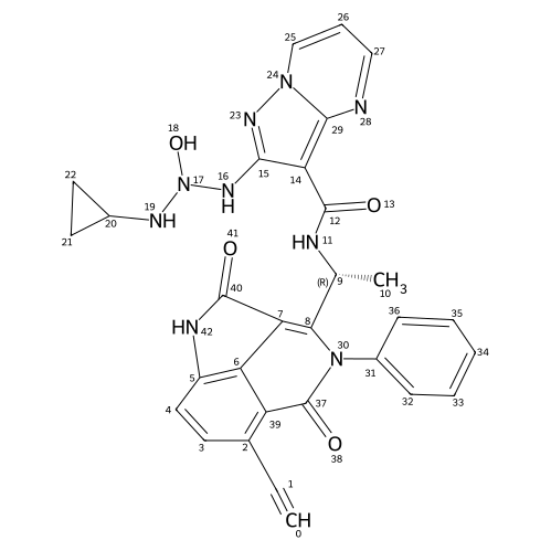 C#Cc1ccc2c3c(c([C@@H](C)NC(=O)c4c(NN(O)NC5CC5)nn5cccnc45)n(-c4ccccc4)c(=O)c13)C(=O)N2